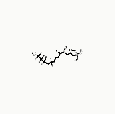 CCO[Si](CCCN(S)C(=O)OCCC(F)(F)CC(F)(F)C(F)(F)C(F)(F)C(F)(F)F)(OCC)OCC